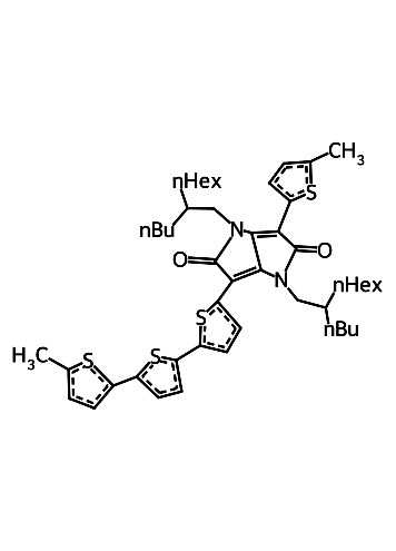 CCCCCCC(CCCC)CN1C(=O)C(c2ccc(-c3ccc(-c4ccc(C)s4)s3)s2)=C2C1=C(c1ccc(C)s1)C(=O)N2CC(CCCC)CCCCCC